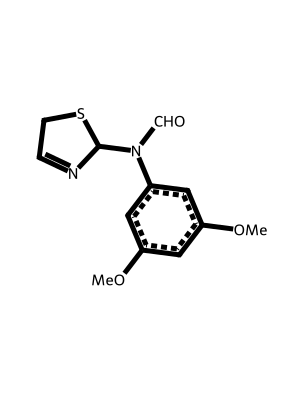 COc1cc(OC)cc(N(C=O)C2N=CCS2)c1